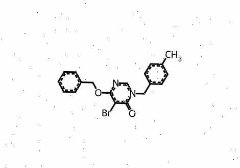 Cc1ccc(Cn2cnc(OCc3ccccc3)c(Br)c2=O)cc1